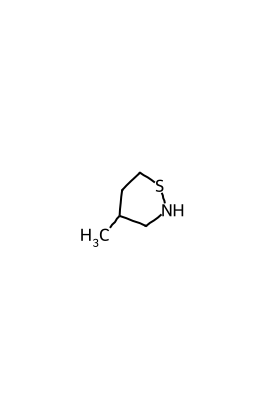 CC1CCSNC1